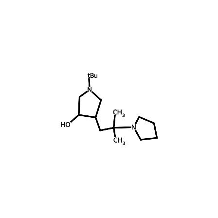 CC(C)(C)N1CC(O)C(CC(C)(C)N2CCCC2)C1